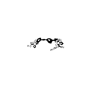 CC(=O)N[C@H](C(=O)N1CCC[C@H]1c1nc(-c2ccc(C#Cc3ccc4[nH]c([C@@H]5CCCN5C(=O)[C@@H](C)C(C)C)nc4c3)cc2)c[nH]1)C(C)C